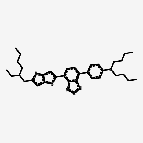 CCCCC(CC)Cc1cc2sc(-c3ccc(-c4ccc(N(CCCC)CCCC)cc4)c4nsnc34)cc2s1